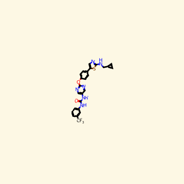 O=C(Nc1cnc(Oc2ccc(-c3cnc(NCC4CC4)s3)cc2)nc1)Nc1cccc(C(F)(F)F)c1